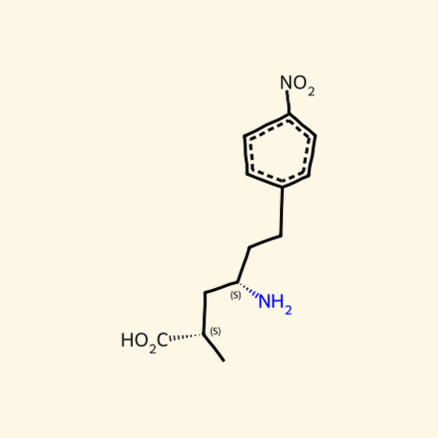 C[C@@H](C[C@@H](N)CCc1ccc([N+](=O)[O-])cc1)C(=O)O